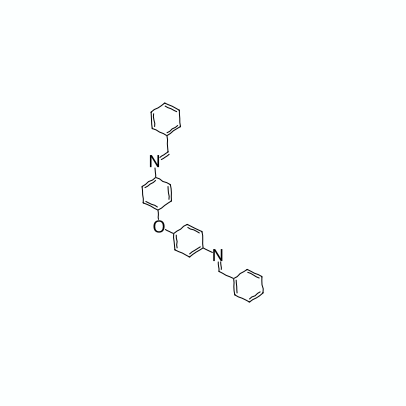 C(=Nc1ccc(Oc2ccc(N=Cc3ccccc3)cc2)cc1)c1ccccc1